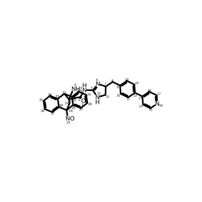 NC1(C(=O)NC2=NC(Cc3ccc(-c4ccncc4)cc3)CN2)CC2(N=O)c3ccccc3C1c1ccccc12